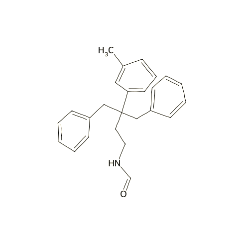 Cc1cccc(C(CCNC=O)(Cc2ccccc2)Cc2ccccc2)c1